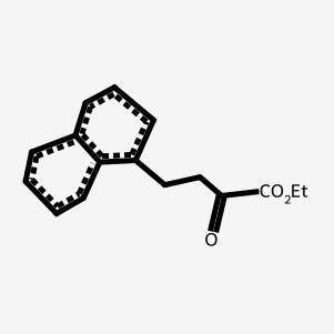 CCOC(=O)C(=O)CCc1cccc2ccccc12